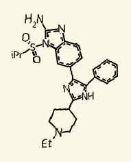 CCN1CCC(c2nc(-c3ccc4nc(N)n(S(=O)(=O)C(C)C)c4c3)c(-c3ccccc3)[nH]2)CC1